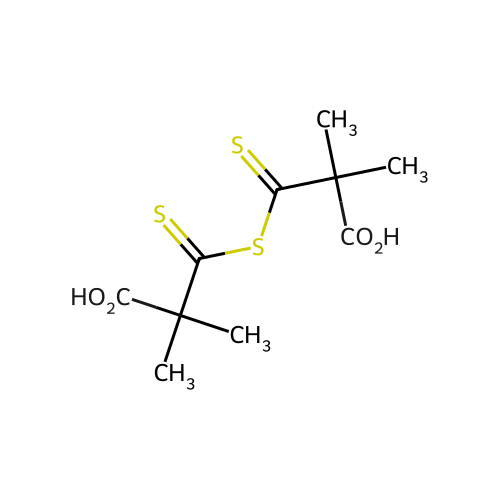 CC(C)(C(=O)O)C(=S)SC(=S)C(C)(C)C(=O)O